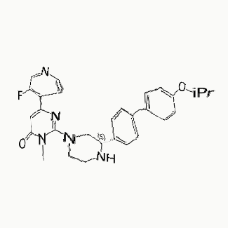 CC(C)Oc1ccc(-c2ccc([C@H]3CN(c4nc(-c5ccncc5F)cc(=O)n4C)CCN3)cc2)cc1